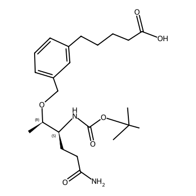 C[C@@H](OCc1cccc(CCCCC(=O)O)c1)[C@H](CCC(N)=O)NC(=O)OC(C)(C)C